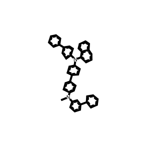 CN(c1ccc(-c2ccc(N(c3ccc(-c4ccccc4)cc3)c3cccc4ccccc34)cc2)cc1)c1cccc(-c2ccccc2)c1